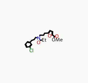 CCC(=O)N(CCCc1cccc(Cl)c1)CCCc1ccc(C(=O)OC)o1